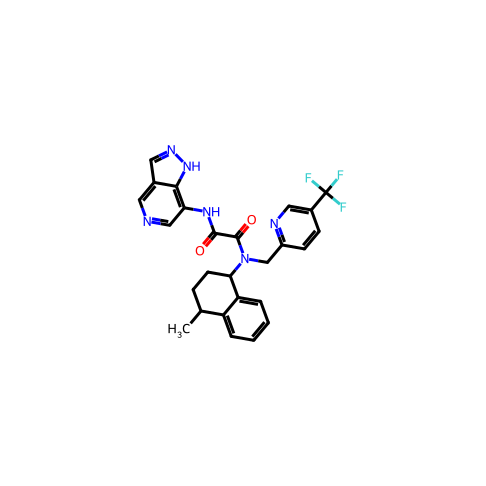 CC1CCC(N(Cc2ccc(C(F)(F)F)cn2)C(=O)C(=O)Nc2cncc3cn[nH]c23)c2ccccc21